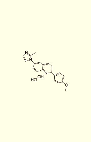 COc1ccc(-c2ccc3cc(-n4ccnc4C)ccc3n2)cc1.Cl.Cl